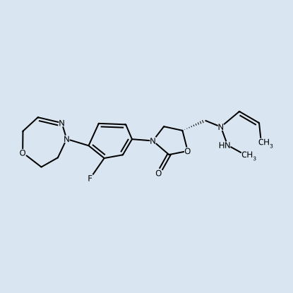 C/C=C\N(C[C@H]1CN(c2ccc(N3CCOCC=N3)c(F)c2)C(=O)O1)NC